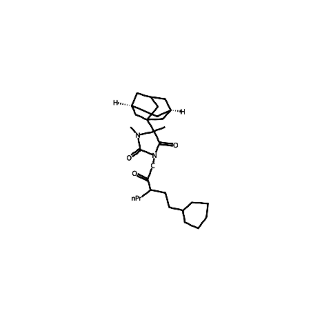 CCCC(CCC1CCCCC1)C(=O)CN1C(=O)N(C)C(C)(C23CC4C[C@H](C2)C[C@@H](C4)C3)C1=O